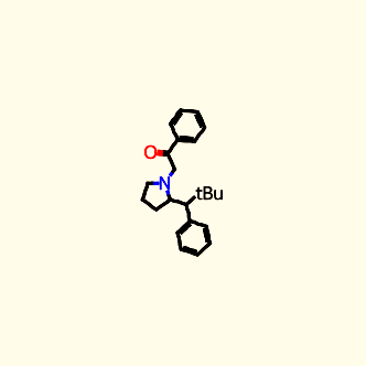 CC(C)(C)C(c1ccccc1)C1CCCN1CC(=O)c1ccccc1